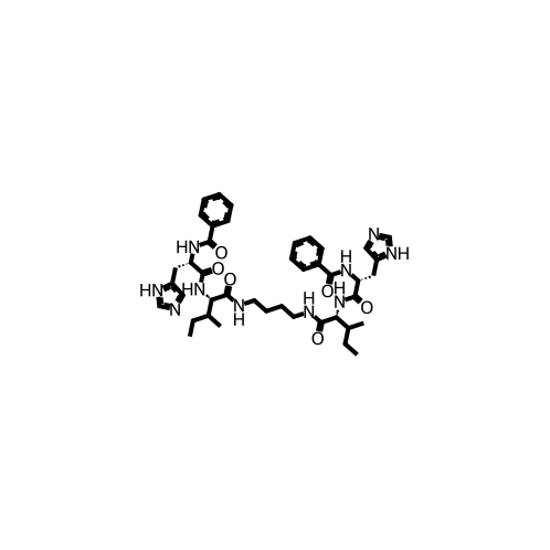 CCC(C)[C@H](NC(=O)[C@H](Cc1cnc[nH]1)NC(=O)c1ccccc1)C(=O)NCCCCNC(=O)[C@H](NC(=O)[C@@H](Cc1cnc[nH]1)NC(=O)c1ccccc1)C(C)CC